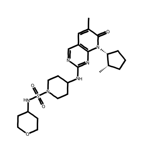 Cc1cc2cnc(NC3CCN(S(=O)(=O)NC4CCOCC4)CC3)nc2n([C@@H]2CCC[C@@H]2C)c1=O